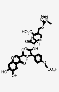 Cn1nnnc1SCC1=C(C(=O)O)N2C(=O)[C@@H](NC(=O)C(NC(=O)c3coc4cc(O)c(O)cc4c3=O)c3ccc(OCC(=O)O)cc3)[C@@H]2SC1